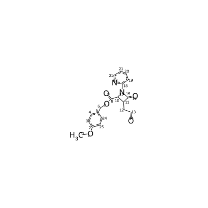 COc1ccc(COC(=O)C2C(CC=O)C(=O)N2c2ccccn2)cc1